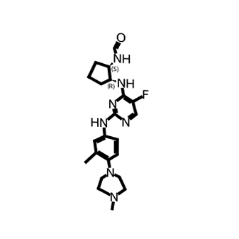 Cc1cc(Nc2ncc(F)c(N[C@@H]3CCC[C@@H]3NC=O)n2)ccc1N1CCN(C)CC1